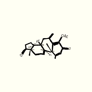 C=C1C[C@@H]2[C@H](CC[C@]3(C)C(=O)CC[C@@H]23)[C@@]2(C)C(C)=CC(=O)C(OC(C)=O)=C12